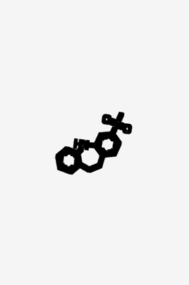 CS(=O)(=O)c1ccc2c(c1)Nc1ccccc1CC2